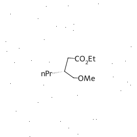 CCC[C@@H](COC)CC(=O)OCC